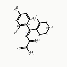 CC1=C(/C(=C\C(=N)C(N)=O)c2ccc(O)cc2F)CCNC1